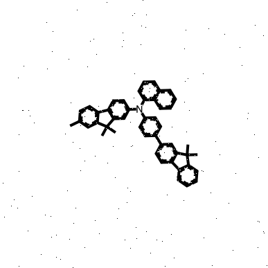 Cc1ccc2c(c1)C(C)(C)c1cc(N(c3ccc(-c4ccc5c(c4)C(C)(C)c4ccccc4-5)cc3)c3cccc4ccccc34)ccc1-2